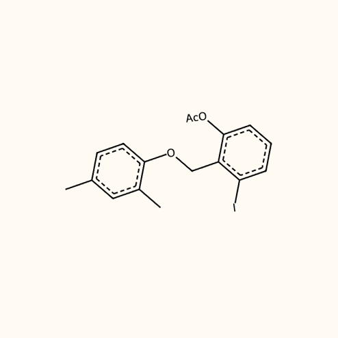 CC(=O)Oc1cccc(I)c1COc1ccc(C)cc1C